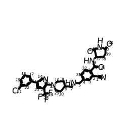 N#Cc1cc(CNCC2CCN(c3ncc(-c4cccc(Cl)c4)cc3C(F)(F)F)CC2)ccc1C(=O)NC1CCC(=O)NC1=O